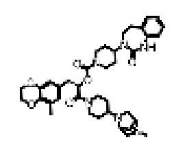 Cc1cc(C[C@@H](OC(=O)N2CCC(N3CCc4ccccc4NC3=O)CC2)C(=O)N2CCC(N3CC4CC3CN4C)CC2)cc2c1OCCO2